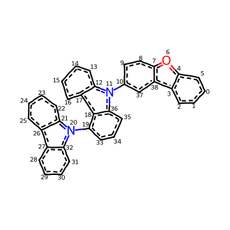 c1ccc2c(c1)oc1ccc(-n3c4ccccc4c4c(-n5c6ccccc6c6ccccc65)cccc43)cc12